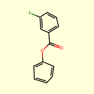 O=C(Oc1cc[c]cc1)c1cccc(F)c1